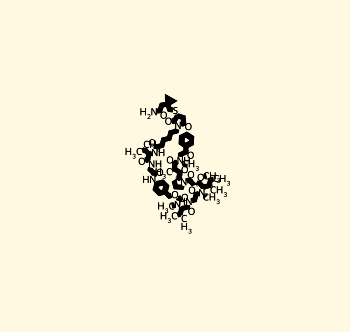 CC[C@H](C)C([C@@H](CC(=O)N1CCC[C@H]1[C@H](OC)[C@@H](C)C(=O)NCC(=O)c1ccccc1)OC)N(C)C(=O)CNC(=O)C(C(C)C)N(C)C(=O)OCc1ccc(NC(=O)CNC(=O)C(NC(=O)CCCCCN2C(=O)CC(SCC3(CC(N)=O)CC3)C2=O)C(C)C)cc1